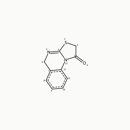 O=C1CSC2=NCc3ccccc3N12